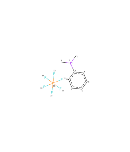 C[I+](C)c1ccccc1.F[P-](F)(F)(F)(F)F